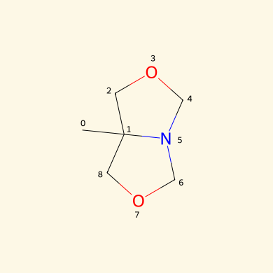 CC12COCN1COC2